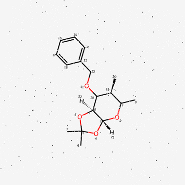 CC1O[C@@H]2OC(C)(C)O[C@H]2C(OCc2ccccc2)[C@H]1C